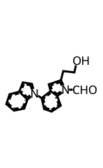 O=Cn1c(CCO)cc2c(-n3ccc4ccccc43)cccc21